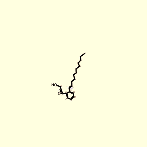 CCCCCCCCCC/C=C/c1ccccc1C1OC1CO